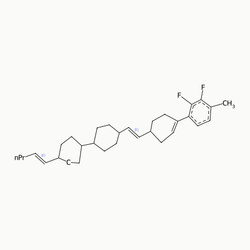 CCC/C=C/C1CCC(C2CCC(/C=C/C3CC=C(c4ccc(C)c(F)c4F)CC3)CC2)CC1